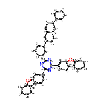 c1ccc(-c2ccc3cc(-c4cccc(-c5nc(-c6ccc7c(c6)oc6ccccc67)nc(-c6ccc7c(c6)oc6ccccc67)n5)c4)ccc3c2)cc1